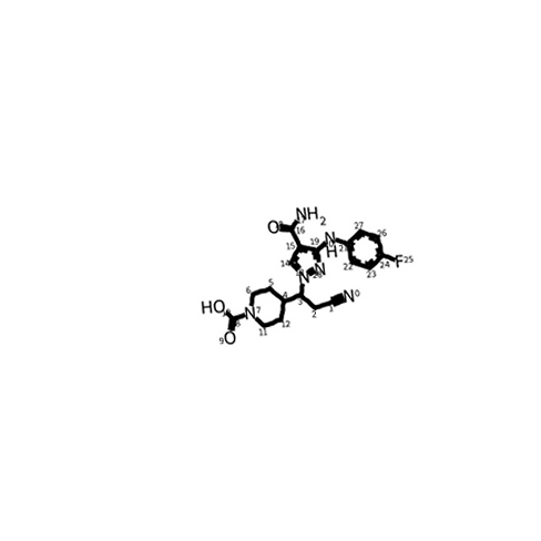 N#CCC(C1CCN(C(=O)O)CC1)n1cc(C(N)=O)c(Nc2ccc(F)cc2)n1